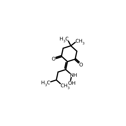 CC(C)CC(NO)=C1C(=O)CC(C)(C)CC1=O